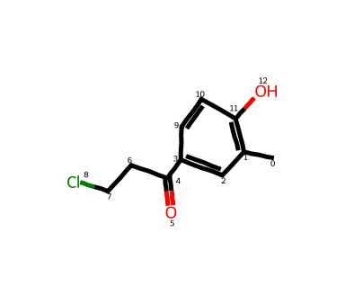 Cc1cc(C(=O)CCCl)ccc1O